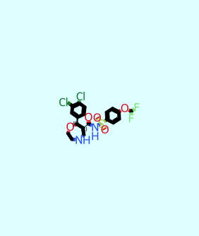 O=C(NS(=O)(=O)c1ccc(OC(F)F)cc1)[C@@H]1CNCCO[C@H]1c1ccc(Cl)c(Cl)c1